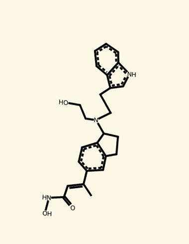 C/C(=C\C(=O)NO)c1ccc2c(c1)CCC2N(CCO)CCc1c[nH]c2ccccc12